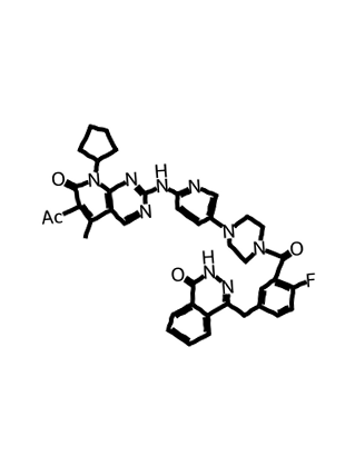 CC(=O)c1c(C)c2cnc(Nc3ccc(N4CCN(C(=O)c5cc(Cc6n[nH]c(=O)c7ccccc67)ccc5F)CC4)cn3)nc2n(C2CCCC2)c1=O